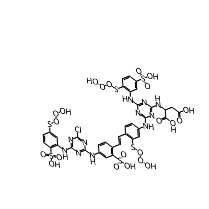 O=C(O)CC(Nc1nc(Nc2ccc(/C=C/c3ccc(Nc4nc(Cl)nc(Nc5cc(SOOO)ccc5S(=O)(=O)O)n4)cc3S(=O)(=O)O)c(SOOO)c2)nc(Nc2cc(S(=O)(=O)O)ccc2SOOO)n1)C(=O)O